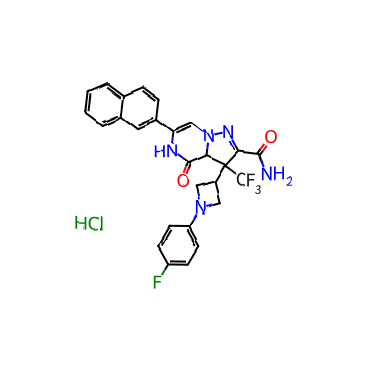 Cl.NC(=O)C1=NN2C=C(c3ccc4ccccc4c3)NC(=O)C2C1(C1CN(c2ccc(F)cc2)C1)C(F)(F)F